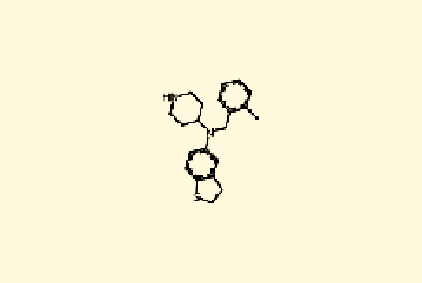 Cc1ccccc1CN(c1ccc2c(c1)CCS2)C1CCNCC1